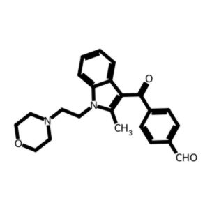 Cc1c(C(=O)c2ccc(C=O)cc2)c2ccccc2n1CCN1CCOCC1